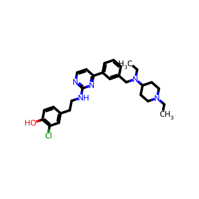 CCN1CCC(N(CC)Cc2cccc(-c3ccnc(NCCc4ccc(O)c(Cl)c4)n3)c2)CC1